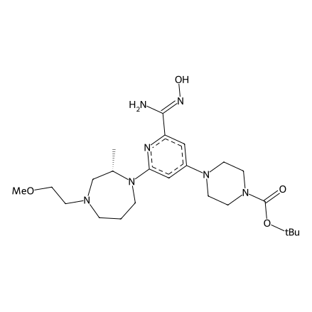 COCCN1CCCN(c2cc(N3CCN(C(=O)OC(C)(C)C)CC3)cc(/C(N)=N/O)n2)[C@@H](C)C1